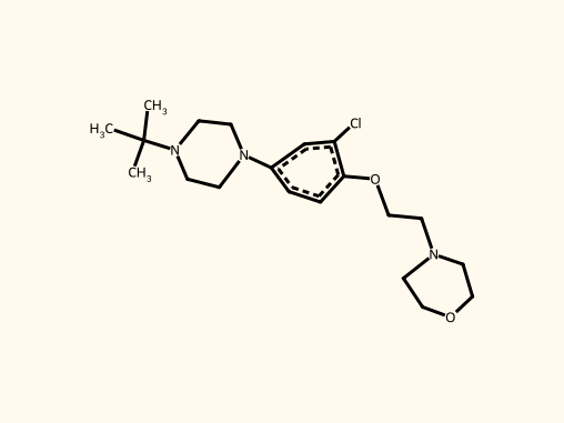 CC(C)(C)N1CCN(c2ccc(OCCN3CCOCC3)c(Cl)c2)CC1